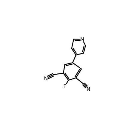 N#Cc1cc(-c2ccncc2)cc(C#N)c1F